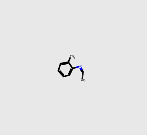 CCC/C=N\c1ccccc1C